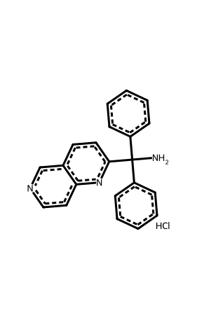 Cl.NC(c1ccccc1)(c1ccccc1)c1ccc2cnccc2n1